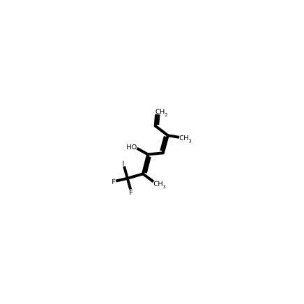 C=C/C(C)=C\C(O)=C(/C)C(F)(F)I